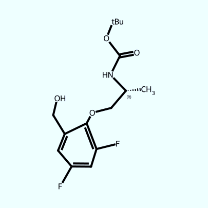 C[C@H](COc1c(F)cc(F)cc1CO)NC(=O)OC(C)(C)C